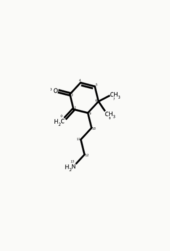 C=C1C(=O)C=CC(C)(C)C1CCCN